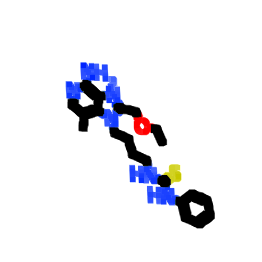 CCOCc1nc2c(N)ncc(C)c2n1CCCCNC(=S)Nc1ccccc1